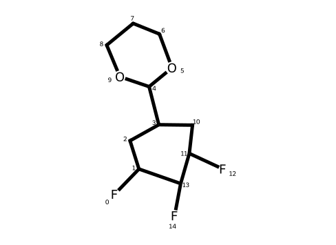 FC1CC(C2OCCCO2)CC(F)C1F